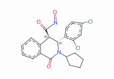 O=NC(=O)[C@@H]1c2ccccc2C(=O)N(C2CCCC2)[C@H]1c1ccc(Cl)cc1Cl